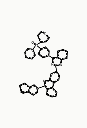 O=P(c1ccccc1)(c1ccccc1)c1ccc(-c2nc(-c3ccc4c(c3)nc(-c3ccc5c#cccc5c3)c3ccccc34)nc3ccccc23)cc1